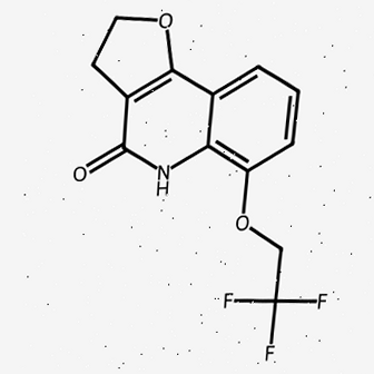 O=c1[nH]c2c(OCC(F)(F)F)cccc2c2c1CCO2